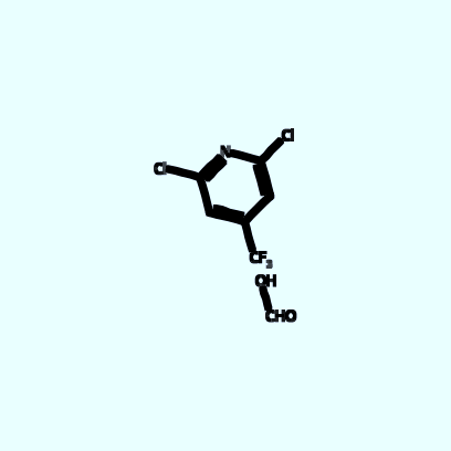 FC(F)(F)c1cc(Cl)nc(Cl)c1.O=CO